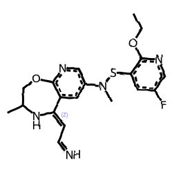 CCOc1ncc(F)cc1SN(C)c1cnc2c(c1)/C(=C/C=N)NC(C)CO2